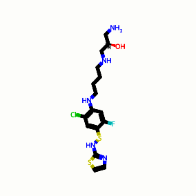 NC[C@@H](O)CNCCCCNc1cc(F)c(SNc2nccs2)cc1Cl